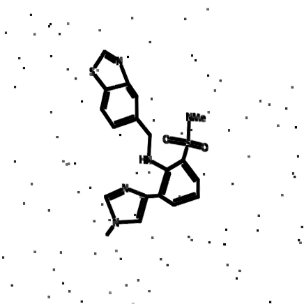 CNS(=O)(=O)c1cccc(-c2cn(C)cn2)c1NCc1ccc2scnc2c1